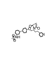 CS(=O)(=O)Nc1cccc(-c2ccc(OC[C@H](CCc3cccnc3)N3C(=O)CSC3=O)cc2)c1